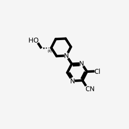 N#Cc1ncc(N2CCC[C@@H](CO)C2)nc1Cl